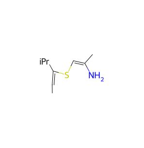 C/C=C(\S/C=C(/C)N)C(C)C